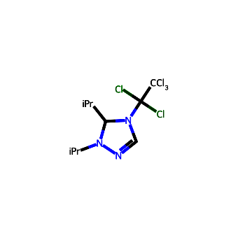 CC(C)C1N(C(C)C)N=CN1C(Cl)(Cl)C(Cl)(Cl)Cl